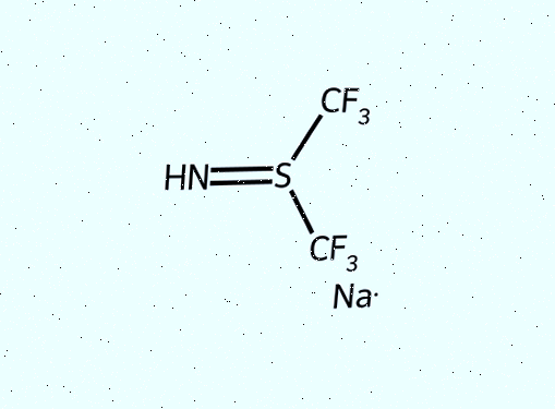 N=S(C(F)(F)F)C(F)(F)F.[Na]